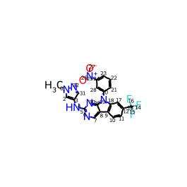 Cn1cc(Nc2ncc3c4ccc(C(F)(F)F)cc4n(-c4cccc([N+](=O)[O-])c4)c3n2)cn1